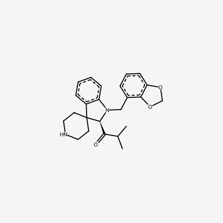 CC(C)C(=O)[C@@H]1N(Cc2cccc3c2OCO3)c2ccccc2C12CCNCC2